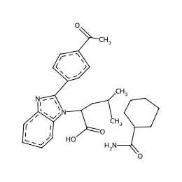 CC(=O)c1ccc(-c2nc3ccccc3n2C(CC(C)C)C(=O)O)cc1.NC(=O)C1CCCCC1